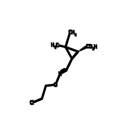 CC1(C)C(C=NOCCCl)[C@H]1C(=O)O